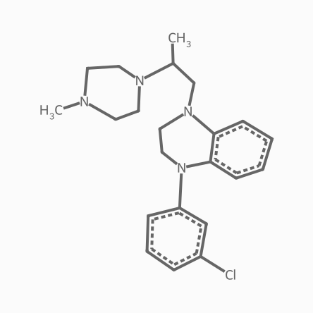 CC(CN1CCN(c2cccc(Cl)c2)c2ccccc21)N1CCN(C)CC1